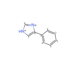 [c]1ccccc1-c1c[nH]cn1